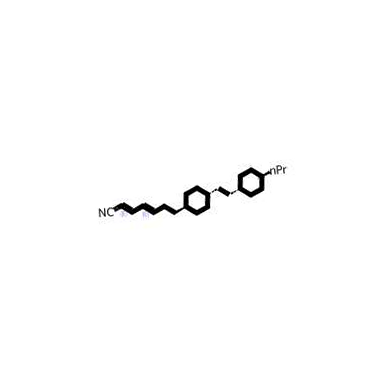 CCC[C@H]1CC[C@H](CC[C@H]2CC[C@H](CC/C=C/C=C/C#N)CC2)CC1